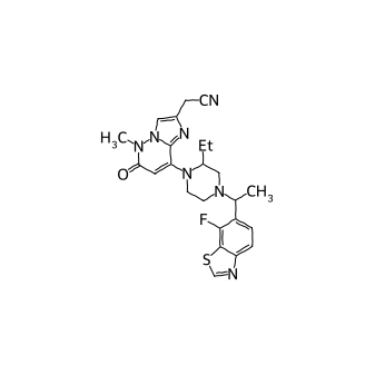 CCC1CN(C(C)c2ccc3ncsc3c2F)CCN1c1cc(=O)n(C)n2cc(CC#N)nc12